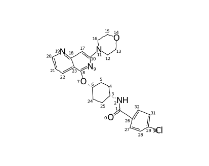 O=C(N[C@H]1CC[C@@H](Oc2nc(N3CCOCC3)cc3ncccc23)CC1)c1ccc(Cl)cc1